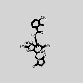 Cc1c(C(=O)NC2CN3C(=N)N[C@@H](CN4C(=O)CCC4=O)C4NC(=N)NC43[C@@H]2O)cccc1C(F)(F)F